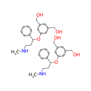 CNCCC(Oc1cc(CO)cc(CO)c1)c1ccccc1.CNCCC(Oc1cc(CO)cc(CO)c1)c1ccccc1